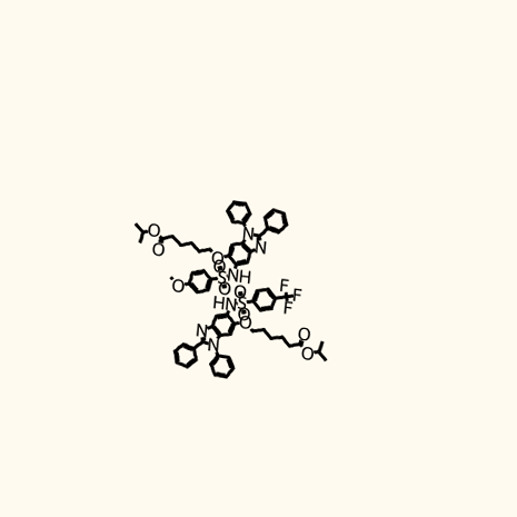 CC(C)OC(=O)CCCCCOc1cc2c(cc1NS(=O)(=O)c1ccc(C(F)(F)F)cc1)nc(-c1ccccc1)n2-c1ccccc1.COc1ccc(S(=O)(=O)Nc2cc3nc(-c4ccccc4)n(-c4ccccc4)c3cc2OCCCCCC(=O)OC(C)C)cc1